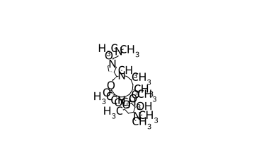 CO[C@]1(C)C[C@@H](C)CN(C)[C@H]([C@@H]2CCN(C(=O)CN(C)C)C2)COC(=O)C(C)(C)C(=O)[C@H](C)[C@H]1O[C@@H]1O[C@H](C)C[C@H](N(C)C)[C@H]1O